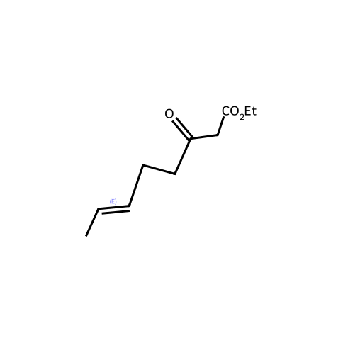 C/C=C/CCC(=O)CC(=O)OCC